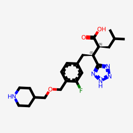 CC(C)C[C@H](C(=O)O)[C@H](Cc1ccc(COCC2CCNCC2)c(F)c1)c1nn[nH]n1